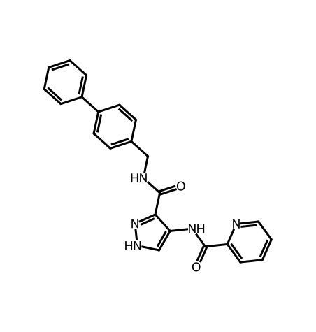 O=C(Nc1c[nH]nc1C(=O)NCc1ccc(-c2ccccc2)cc1)c1ccccn1